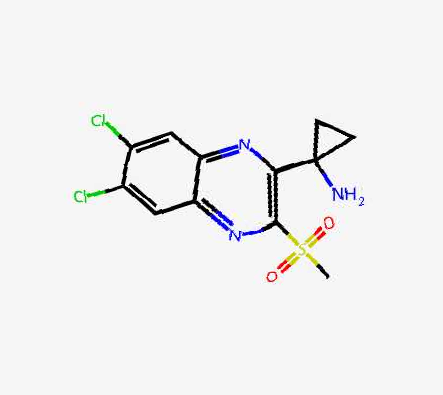 CS(=O)(=O)c1nc2cc(Cl)c(Cl)cc2nc1C1(N)CC1